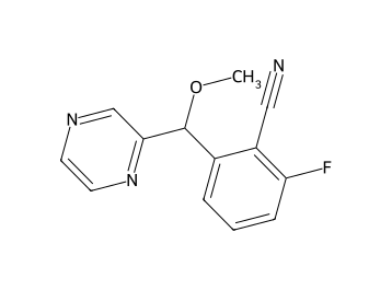 COC(c1cnccn1)c1cccc(F)c1C#N